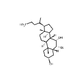 CC[C@H]1[C@@H](O)[C@@H]2[C@H](CC[C@]3(C)[C@@H](C(C)CCC(=O)O)CC[C@@H]23)[C@@]2(C)CC[C@H](O)C[C@@H]12